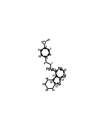 COc1ccc(CCNc2ncnc3sc4c(c23)CCCC4)cc1